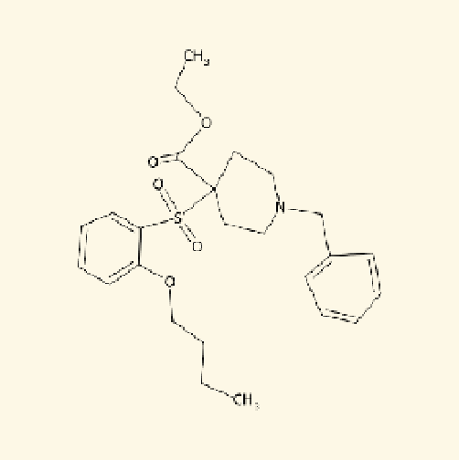 CCCCOc1ccccc1S(=O)(=O)C1(C(=O)OCC)CCN(Cc2ccccc2)CC1